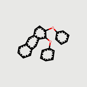 c1ccc(Oc2ccc3cc4ccccc4cc3c2Oc2ccccc2)cc1